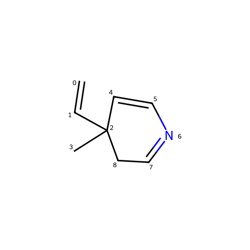 C=CC1(C)C=CN=CC1